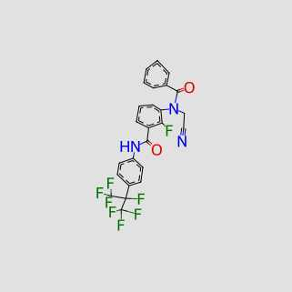 N#CCN(C(=O)c1ccccc1)c1cccc(C(=O)Nc2ccc(C(F)(C(F)(F)F)C(F)(F)F)cc2)c1F